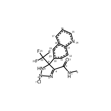 CNC(=O)C1=NN(Cl)NC1(c1ccc2ncccc2c1)C(F)(F)F